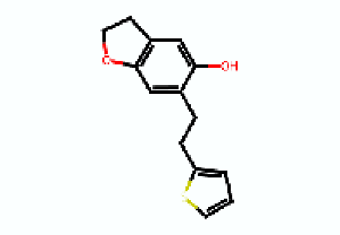 Oc1cc2c(cc1CCc1cccs1)OCC2